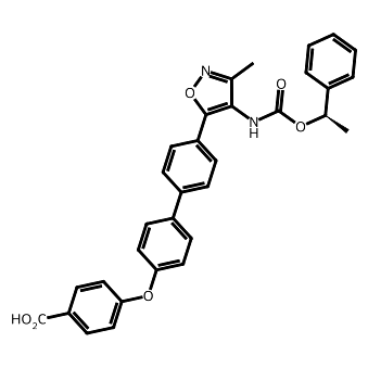 Cc1noc(-c2ccc(-c3ccc(Oc4ccc(C(=O)O)cc4)cc3)cc2)c1NC(=O)O[C@H](C)c1ccccc1